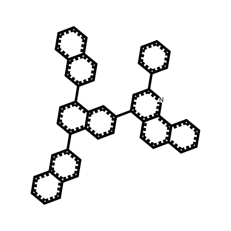 c1ccc(-c2cc(-c3ccc4c(-c5ccc6ccccc6c5)ccc(-c5ccc6ccccc6c5)c4c3)c3ccc4ccccc4c3n2)cc1